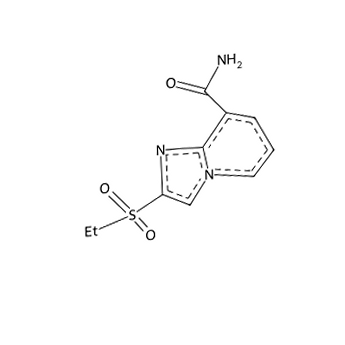 CCS(=O)(=O)c1cn2cccc(C(N)=O)c2n1